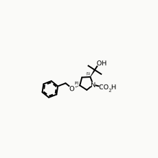 CC(C)(O)[C@@H]1C[C@@H](OCc2ccccc2)CN1C(=O)O